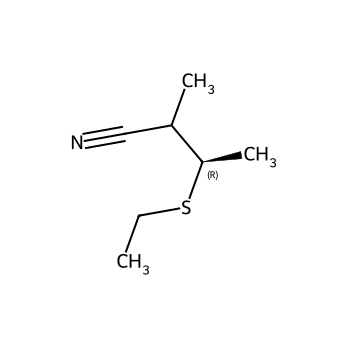 CCS[C@H](C)C(C)C#N